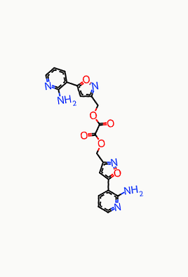 Nc1ncccc1-c1cc(COC(=O)C(=O)OCc2cc(-c3cccnc3N)on2)no1